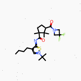 CCCCc1cn(C(C)(C)C)s/c1=N\C(=O)C1(C)CCC(C(=O)N2CC(F)(F)C2)C1(C)C